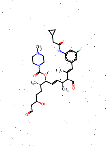 C/C(=C\c1cc(F)cc(NC(=O)CC2CC2)c1)[C@@H](C=O)[C@@H](C)/C=C/[C@H](OC(=O)N1CCN(C)CC1)[C@@H](C)CC[C@@H](O)CC=O